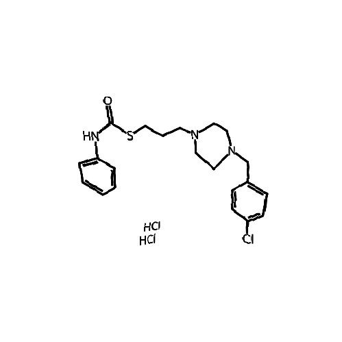 Cl.Cl.O=C(Nc1ccccc1)SCCCN1CCN(Cc2ccc(Cl)cc2)CC1